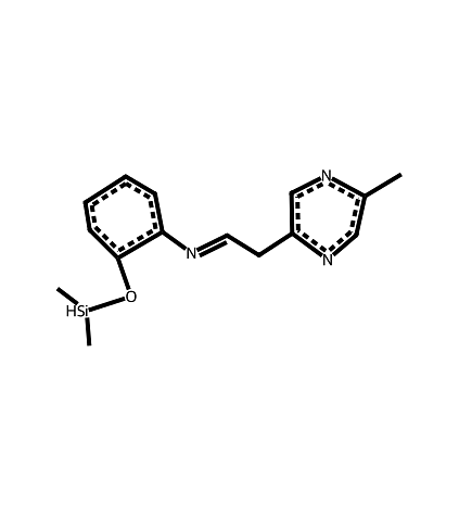 Cc1cnc(CC=Nc2ccccc2O[SiH](C)C)cn1